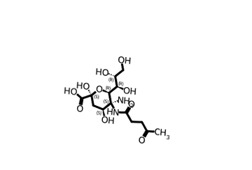 CC(=O)CCC(=O)N[C@@]1(N)[C@@H](O)C[C@@](O)(C(=O)O)O[C@H]1[C@H](O)[C@H](O)CO